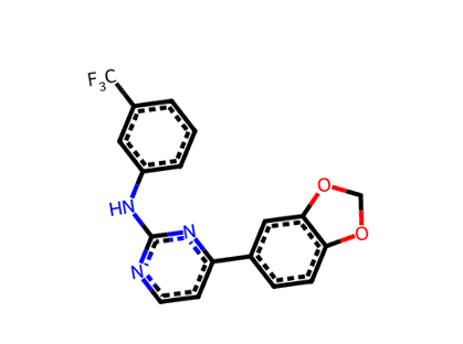 FC(F)(F)c1cccc(Nc2nccc(-c3ccc4c(c3)OCO4)n2)c1